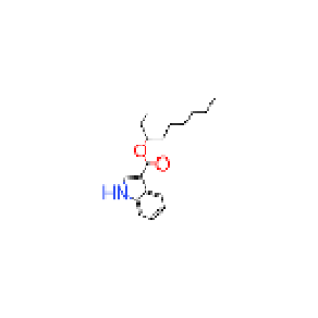 CCCCCCC(CC)OC(=O)c1c[nH]c2ccccc12